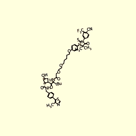 Cc1ncsc1-c1ccc(CNC(=O)[C@@H]2C[C@@H](O)CC2C(=O)[C@@H](NC(=O)COCCOCCCCCOc2ccc(N3C(=S)N(c4ccc(C#N)c(C(F)(F)F)c4)C(=O)C3(C)C)cc2)C(C)(C)C)cc1